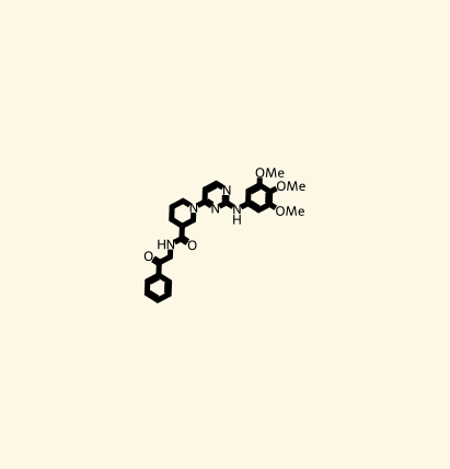 COc1cc(Nc2nccc(N3CCCC(C(=O)NCC(=O)c4ccccc4)C3)n2)cc(OC)c1OC